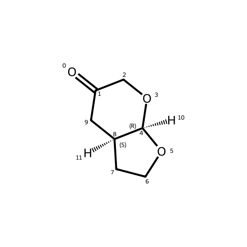 O=C1CO[C@H]2OCC[C@H]2C1